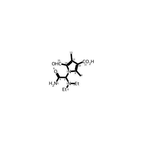 CCN(CC)C(C(N)=O)n1c(C)c(C(=O)O)c(C)c1C=O